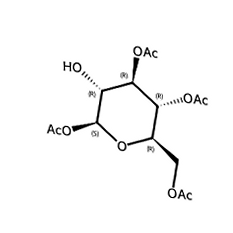 CC(=O)OC[C@H]1O[C@@H](OC(C)=O)[C@H](O)[C@@H](OC(C)=O)[C@@H]1OC(C)=O